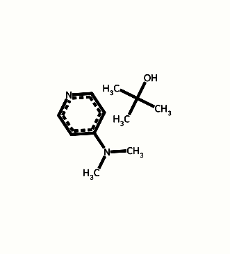 CC(C)(C)O.CN(C)c1ccncc1